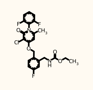 CCOC(=O)NCc1cc(F)ccc1COc1cc(C)n(-c2c(F)cccc2F)c(=O)c1Cl